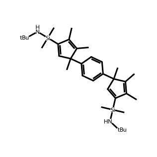 CC1=C(C)C(C)(c2ccc(C3(C)C=C([Si](C)(C)NC(C)(C)C)C(C)=C3C)cc2)C=C1[Si](C)(C)NC(C)(C)C